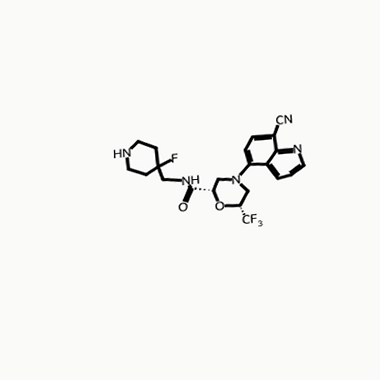 N#Cc1ccc(N2C[C@@H](C(=O)NCC3(F)CCNCC3)O[C@@H](C(F)(F)F)C2)c2cccnc12